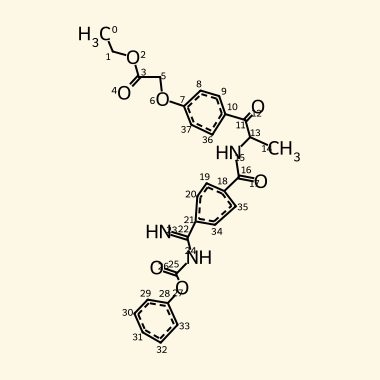 CCOC(=O)COc1ccc(C(=O)C(C)NC(=O)c2ccc(C(=N)NC(=O)Oc3ccccc3)cc2)cc1